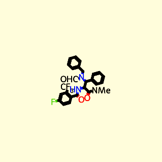 CNC(=O)C(NC(=O)c1ccc(F)cc1C(F)(F)F)C(c1ccccc1)N(C=O)Cc1ccccc1